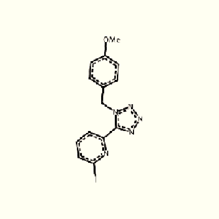 COc1ccc(Cn2nnnc2-c2cccc(I)n2)cc1